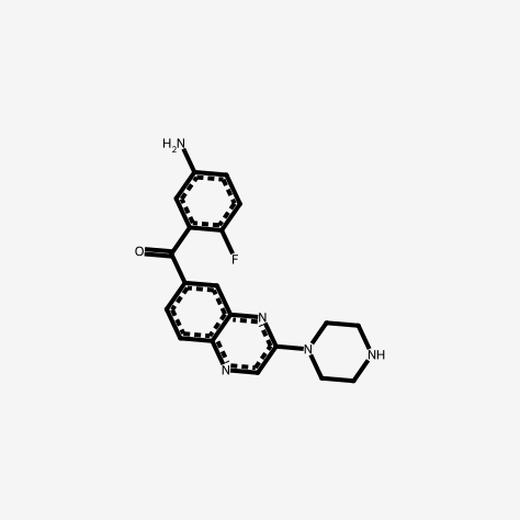 Nc1ccc(F)c(C(=O)c2ccc3ncc(N4CCNCC4)nc3c2)c1